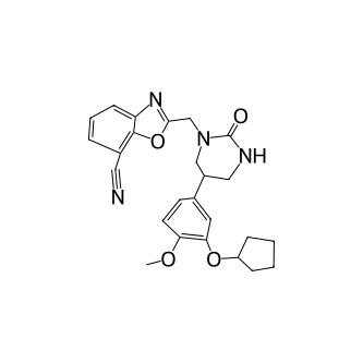 COc1ccc(C2CNC(=O)N(Cc3nc4cccc(C#N)c4o3)C2)cc1OC1CCCC1